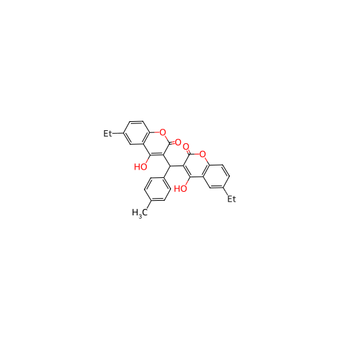 CCc1ccc2oc(=O)c(C(c3ccc(C)cc3)c3c(O)c4cc(CC)ccc4oc3=O)c(O)c2c1